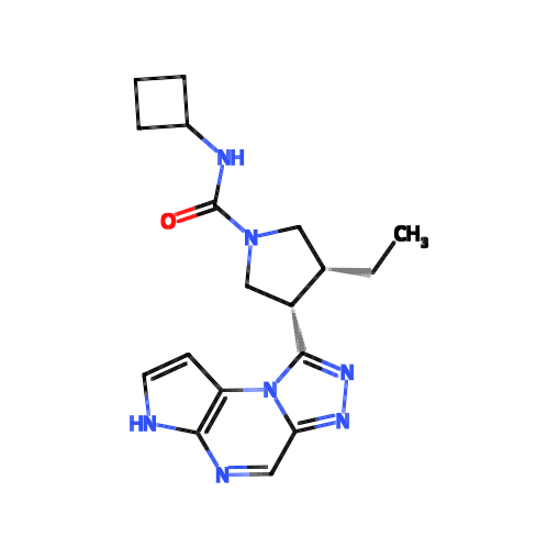 CC[C@H]1CN(C(=O)NC2CCC2)C[C@H]1c1nnc2cnc3[nH]ccc3n12